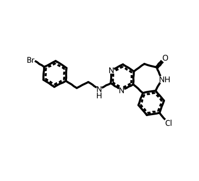 O=C1Cc2cnc(NCCc3ccc(Br)cc3)nc2-c2ccc(Cl)cc2N1